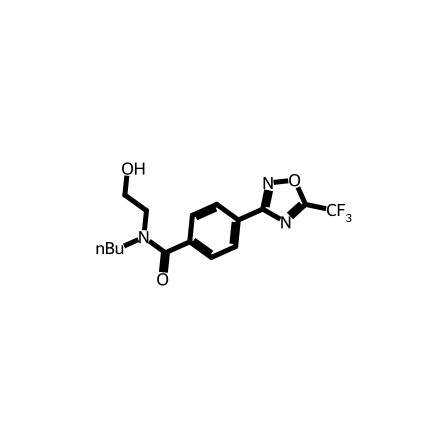 CCCCN(CCO)C(=O)c1ccc(-c2noc(C(F)(F)F)n2)cc1